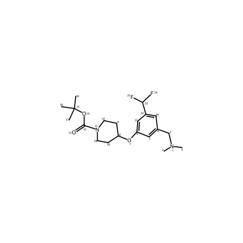 CN(C)Cc1cc(OC2CCN(C(=O)OC(C)(C)C)CC2)cc(C(F)F)c1